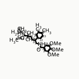 COc1cc(C(=O)NCC(CCC(C)(C)C(O[SiH2]C)O[SiH2]C)c2ccc(C)c(C)c2)cc(OC)c1OC